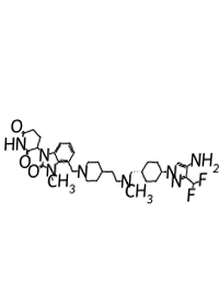 CN(CCC1CCN(Cc2cccc3c2n(C)c(=O)n3C2CCC(=O)NC2=O)CC1)C[C@H]1CC[C@H](n2cc(N)c(C(F)F)n2)CC1